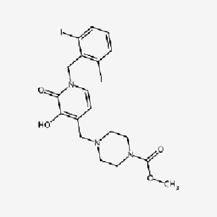 COC(=O)N1CCN(Cc2ccn(Cc3c(I)cccc3I)c(=O)c2O)CC1